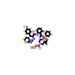 CC(C)(C)OC(=O)N1C[C@H](CCc2c(F)cccc2NC(=O)[C@@H](N=[N+]=[N-])[C@@H](c2ccc(Cl)cc2)C2CCOCC2)N(S(=O)(=O)c2ccccc2)C2(CC2)C1